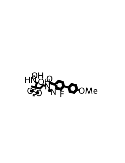 COc1ccc(-c2ccc3c(=O)n(CCC(C)(C(O)NO)S(C)(=O)=O)cnc3c2F)cc1